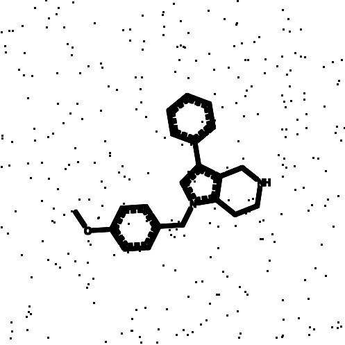 COc1ccc(Cn2cc(-c3ccccc3)c3c2CCNC3)cc1